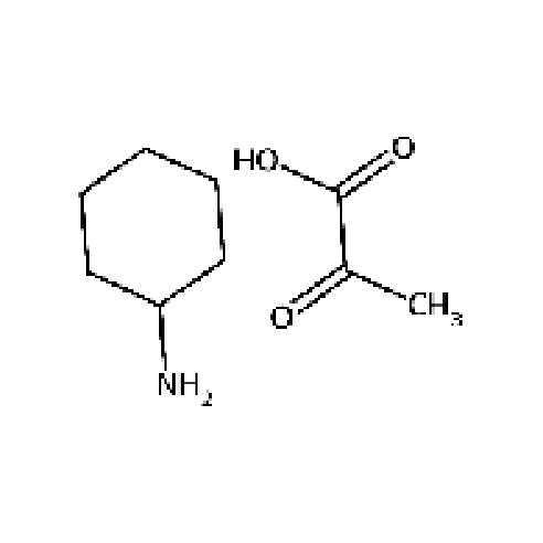 CC(=O)C(=O)O.NC1CCCCC1